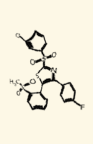 CS(=O)(=O)c1ccccc1-c1sc(S(=O)(=O)c2cccc(Cl)c2)nc1-c1ccc(F)cc1